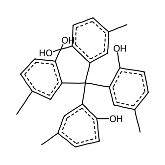 Cc1ccc(O)c(C(c2cc(C)ccc2O)(c2cc(C)ccc2O)c2cc(C)ccc2O)c1